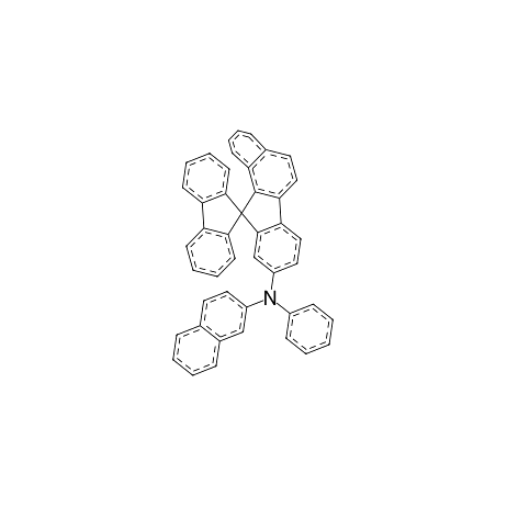 c1ccc(N(c2ccc3c(c2)C2(c4ccccc4-c4ccccc42)c2c-3ccc3ccccc23)c2ccc3ccccc3c2)cc1